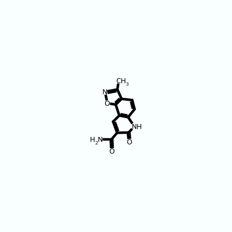 Cc1noc2c1ccc1[nH]c(=O)c(C(N)=O)cc12